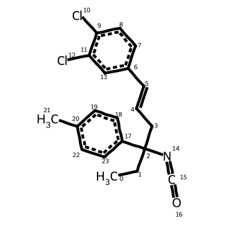 CCC(CC=Cc1ccc(Cl)c(Cl)c1)(N=C=O)c1ccc(C)cc1